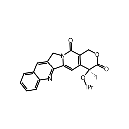 CC(C)O[C@]1(I)C(=O)OCc2c1cc1n(c2=O)Cc2cc3ccccc3nc2-1